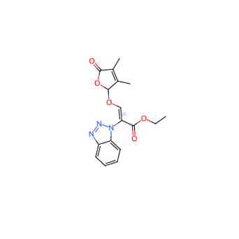 CCOC(=O)/C(=C/OC1OC(=O)C(C)=C1C)n1nnc2ccccc21